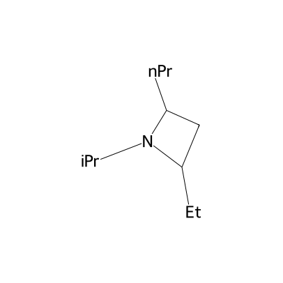 CCCC1CC(CC)N1C(C)C